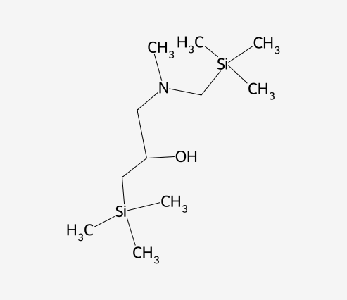 CN(CC(O)C[Si](C)(C)C)C[Si](C)(C)C